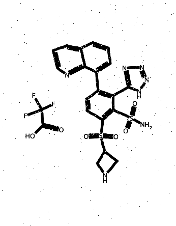 NS(=O)(=O)c1c(S(=O)(=O)C2CNC2)ccc(-c2cccc3cccnc23)c1-c1nnn[nH]1.O=C(O)C(F)(F)F